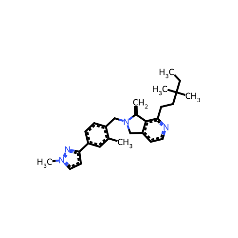 C=C1c2c(ccnc2CCC(C)(C)CC)CN1Cc1ccc(-c2ccn(C)n2)cc1C